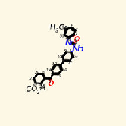 Cc1ccc2oc(Nc3ccc(-c4ccc(C(=O)C5CCCCC5C(=O)O)cc4)cc3)nc2c1